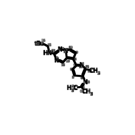 CC(C)=Nc1ccc(-c2ccn3nc(NCC(C)(C)C)ncc23)nc1C